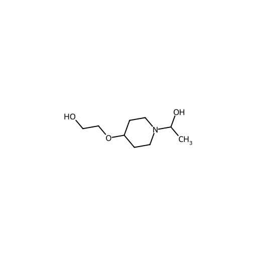 CC(O)N1CCC(OCCO)CC1